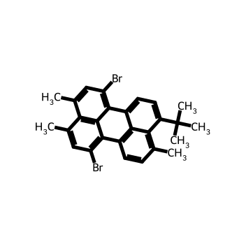 Cc1ccc2c3c(Br)cc(C)c4c(C)cc(Br)c(c5ccc(C(C)(C)C)c1c25)c43